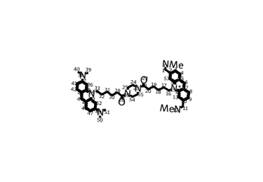 CNCc1ccc2cc3ccc(CNC)cc3[n+](CCCCCC(=O)N3CCN(C(=O)CCCCC[n+]4c5cc(N(C)C)ccc5cc5ccc(N(C)C)cc54)CC3)c2c1